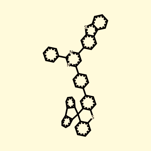 c1ccc(-c2nc(-c3ccc(-c4ccc5c(c4)C4(c6ccccc6S5)c5ccccc5-c5ccccc54)cc3)cc(-c3ccc4c(c3)sc3ccccc34)n2)cc1